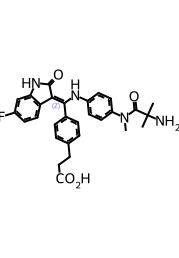 CN(C(=O)C(C)(C)N)c1ccc(N/C(=C2\C(=O)Nc3cc(F)ccc32)c2ccc(CCC(=O)O)cc2)cc1